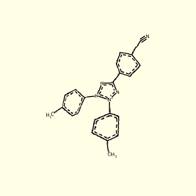 Cc1ccc(-n2nc(-c3ccc(C#N)cc3)n[n+]2-c2ccc(C)cc2)cc1